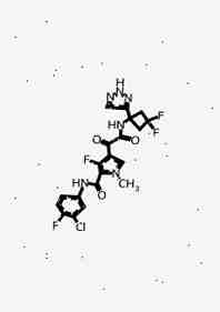 Cn1cc(C(=O)C(=O)NC2(c3cn[nH]n3)CC(F)(F)C2)c(F)c1C(=O)Nc1ccc(F)c(Cl)c1